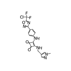 Cn1cc(CNc2c(Nc3ccc(-c4noc(C(F)(F)Cl)n4)cc3)c(=O)c2=O)cn1